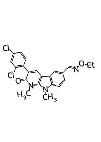 CCON=Cc1ccc2c(c1)c1cc(-c3ccc(Cl)cc3Cl)c(=O)n(C)c1n2C